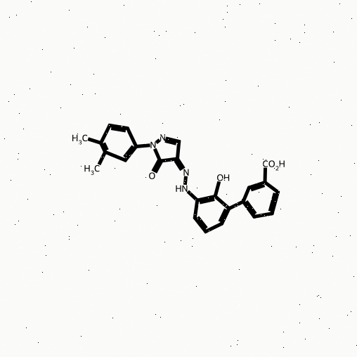 Cc1ccc(N2N=C/C(=N/Nc3cccc(-c4cccc(C(=O)O)c4)c3O)C2=O)cc1C